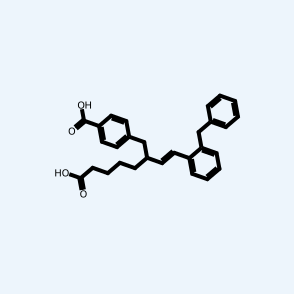 O=C(O)CCCCC(/C=C/c1ccccc1Cc1ccccc1)Cc1ccc(C(=O)O)cc1